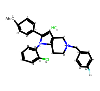 COc1ccc(-c2cc3c(n2-c2ccccc2Cl)CCN(Cc2ccc(F)cc2)C3)cc1.Cl